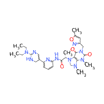 CCN(CC)C1=NC=C(c2cccc(NC(=O)[C@H](C)N3CN(C)c4c3c(=O)n(Cc3cc(C)on3)c(=O)n4C)n2)CN1